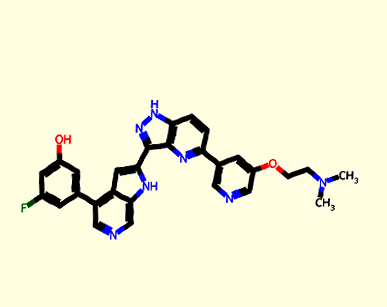 CN(C)CCOc1cncc(-c2ccc3[nH]nc(-c4cc5c(-c6cc(O)cc(F)c6)cncc5[nH]4)c3n2)c1